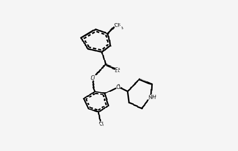 CCC(Oc1ccc(Cl)cc1OC1CCNCC1)c1cccc(C(F)(F)F)c1